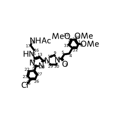 COc1cc(CCC(=O)N2CCN(c3cc(NCCNC(C)=O)nc(-c4ccc(Cl)cc4)n3)CC2)cc(OC)c1OC